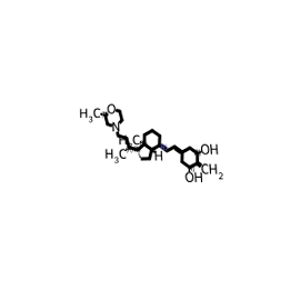 C=C1[C@H](O)CC(=C/C=C2\CCC[C@]3(C)[C@@H]([C@H](C)CCN4CCO[C@H](C)C4)CC[C@@H]23)C[C@H]1O